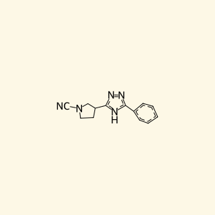 N#CN1CCC(c2nnc(-c3ccccc3)[nH]2)C1